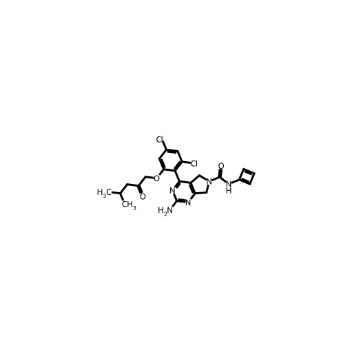 CC(C)CC(=O)COc1cc(Cl)cc(Cl)c1-c1nc(N)nc2c1CN(C(=O)NC1=CC=C1)C2